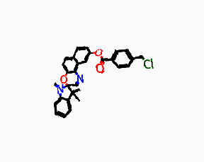 CN1c2ccccc2C(C)(C)C12C=Nc1c(ccc3ccc(OC(=O)c4ccc(CCl)cc4)cc13)O2